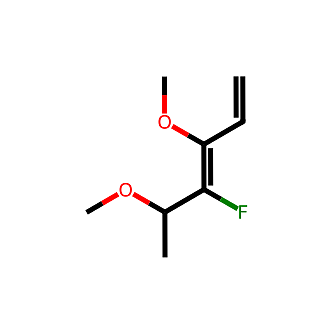 C=C/C(OC)=C(\F)C(C)OC